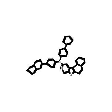 c1ccc(-c2ccc(N(c3ccc(-c4ccc5ccccc5c4)cc3)c3cc4c(cn3)sc3ccc5ccccc5c34)cc2)cc1